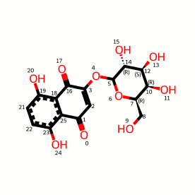 O=C1C=C(OC2O[C@H](CO)[C@H](O)[C@H](O)[C@H]2O)C(=O)c2c(O)ccc(O)c21